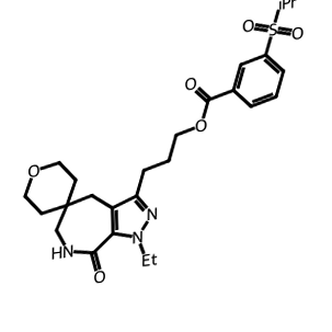 CCn1nc(CCCOC(=O)c2cccc(S(=O)(=O)C(C)C)c2)c2c1C(=O)NCC1(CCOCC1)C2